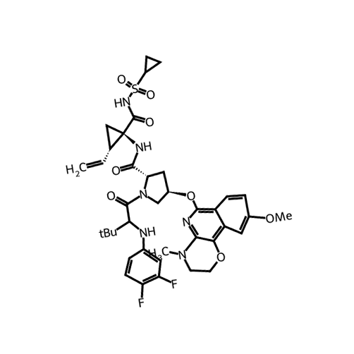 C=C[C@@H]1C[C@]1(NC(=O)[C@@H]1C[C@@H](Oc2nc3c(c4cc(OC)ccc24)OCCN3C)CN1C(=O)C(Nc1ccc(F)c(F)c1)C(C)(C)C)C(=O)NS(=O)(=O)C1CC1